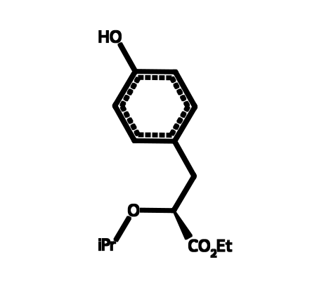 CCOC(=O)[C@H](Cc1ccc(O)cc1)OC(C)C